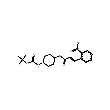 CC(C)(C)OC(=O)N[C@H]1CC[C@@H](OC(=O)/C=C/c2ccccc2[N+](=O)[O-])CC1